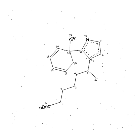 CCCCCCCCCCCCCCC(C)n1ccnc1C1(CCC)C=CC=CC1